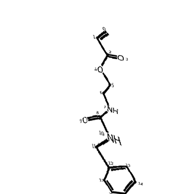 C=CC(=O)OCCNC(=O)NCc1ccccc1